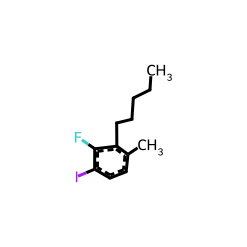 CCCCCc1c(C)ccc(I)c1F